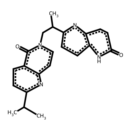 CC(C)c1ccc2c(=O)n(CC(C)c3ccc4[nH]c(=O)ccc4n3)ccc2n1